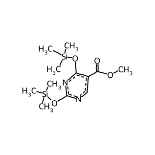 COC(=O)c1cnc(O[Si](C)(C)C)nc1O[Si](C)(C)C